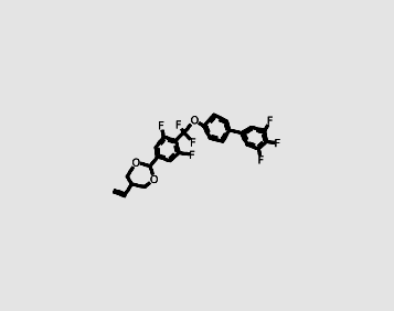 C=CC1COC(c2cc(F)c(C(F)(F)Oc3ccc(-c4cc(F)c(F)c(F)c4)cc3)c(F)c2)OC1